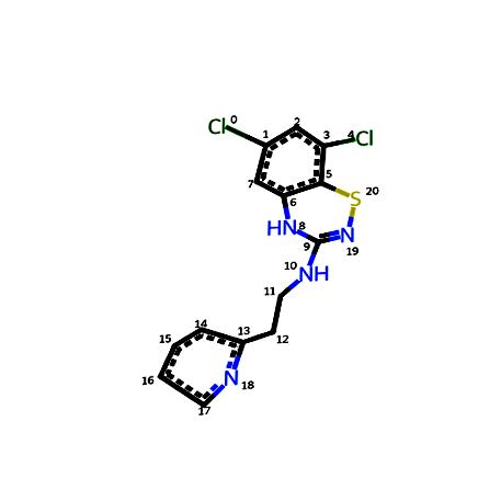 Clc1cc(Cl)c2c(c1)NC(NCCc1ccccn1)=NS2